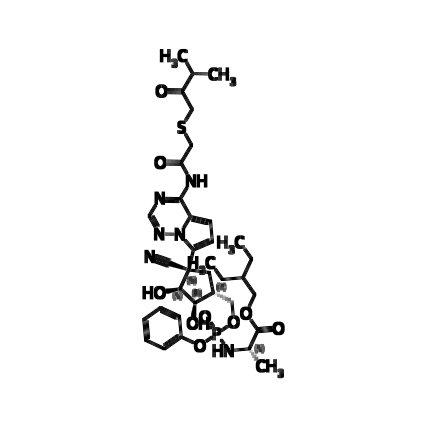 CCC(CC)COC(=O)[C@H](C)NP(=O)(OC[C@H]1C[C@@](C#N)(c2ccc3c(NC(=O)CSCC(=O)C(C)C)ncnn23)[C@H](O)[C@@H]1O)Oc1ccccc1